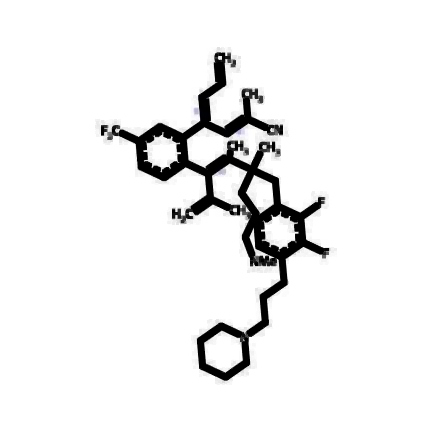 C=C/C=C(\C=C(/C)C#N)c1cc(C(F)(F)F)ccc1/C(C(=C)C)=C(\C)C(C)(CCCNC)Cc1ccc(CCCN2CCCCC2)c(F)c1F